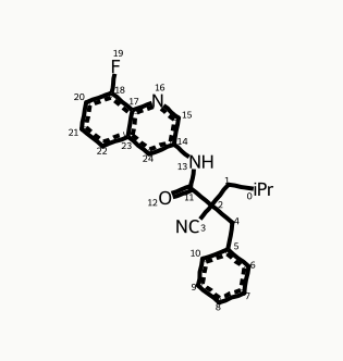 CC(C)CC(C#N)(Cc1ccccc1)C(=O)Nc1cnc2c(F)cccc2c1